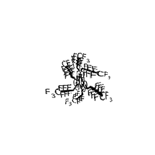 FC(F)(F)C(F)(F)C(F)(F)C(F)(F)CCOP1(OCCC(F)(F)C(F)(F)C(F)(F)C(F)(F)F)=NP(OCCC(F)(F)C(F)(F)C(F)(F)C(F)(F)F)(OCCC(F)(F)C(F)(F)C(F)(F)C(F)(F)F)=NP(OCCC(F)(F)C(F)(F)C(F)(F)C(F)(F)F)(OCCC(F)(F)C(F)(F)C(F)(F)C(F)(F)F)=N1